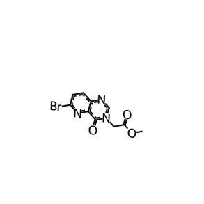 COC(=O)Cn1cnc2ccc(Br)nc2c1=O